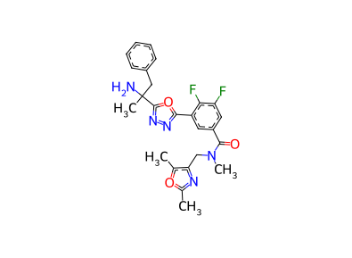 Cc1nc(CN(C)C(=O)c2cc(F)c(F)c(-c3nnc(C(C)(N)Cc4ccccc4)o3)c2)c(C)o1